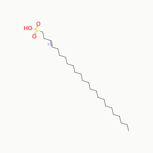 CCCCCCCCCCCCCCCCCCCC/C=C/CCS(=O)(=O)O